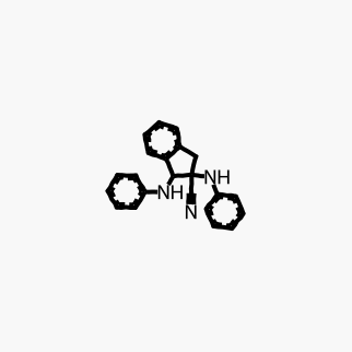 N#CC1(Nc2ccccc2)Cc2ccccc2C1Nc1ccccc1